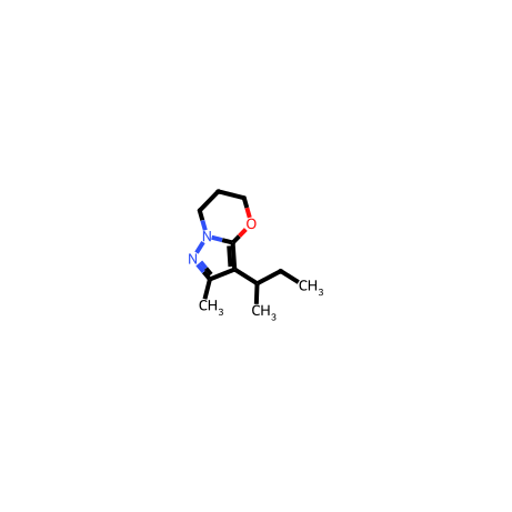 CCC(C)c1c(C)nn2c1OCCC2